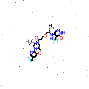 CC1CN2c3ncc(C(F)(F)F)cc3OCC2CN1C(=O)CCOC[C@H](C)Nc1cn[nH]c(=O)c1C(F)(F)F